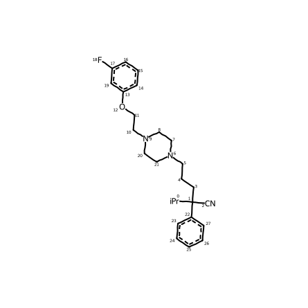 CC(C)C(C#N)(CCCN1CCN(CCOc2cccc(F)c2)CC1)c1ccccc1